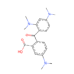 CN(C)c1ccc(C(=O)c2ccc(N(C)C)cc2N(C)C)c(C(=O)O)c1